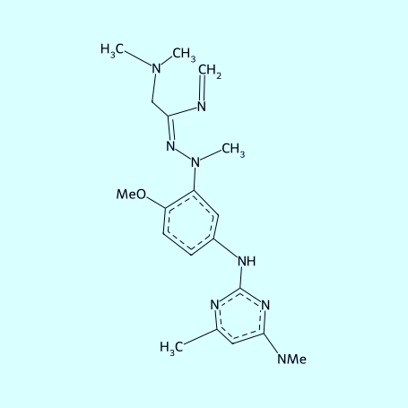 C=N/C(CN(C)C)=N\N(C)c1cc(Nc2nc(C)cc(NC)n2)ccc1OC